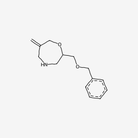 C=C1CNCC(COCc2ccccc2)OC1